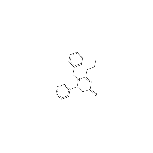 CCCC1=CC(=O)CC(c2cccnc2)N1Cc1ccccc1